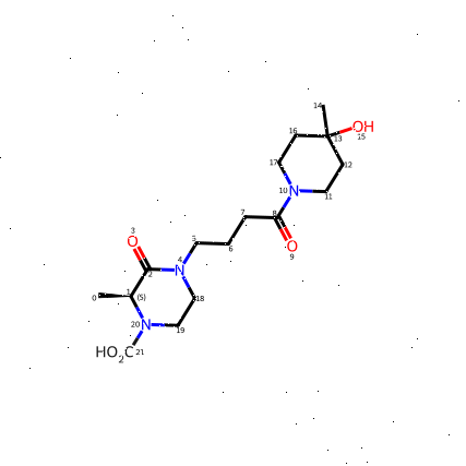 C[C@H]1C(=O)N(CCCC(=O)N2CCC(C)(O)CC2)CCN1C(=O)O